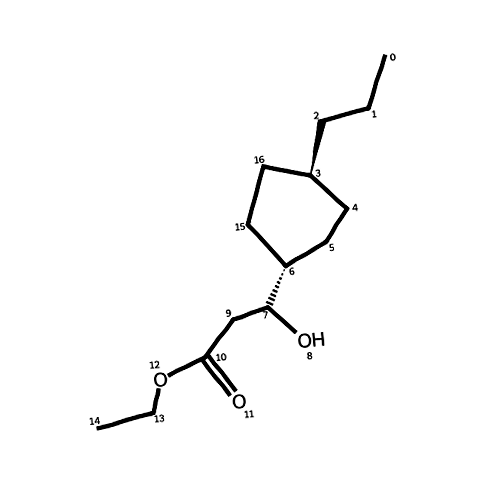 CCC[C@H]1CC[C@H](C(O)CC(=O)OCC)CC1